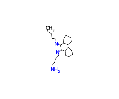 CCCCC/N=C(/C(=N/CCCCN)C1CCCCC1)C1CCCCC1